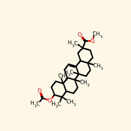 COC(=O)C1(C)CCC2(C)CCC3(C)C(=CCC4C5(C)CCC(OC(C)=O)C(C)(C)C5CCC43C)C2C1